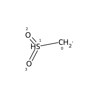 [CH2][SH](=O)=O